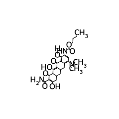 CCCCOC(=O)Nc1cc(N(C)C)c2c(c1O)C(=O)C1=C(O)C3C(=O)C(C(N)=O)=C(O)CC3CC1C2